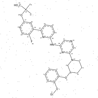 CCOc1ccccc1OC1CCCN(c2cncc(Nc3cccc(-c4cc(OC(C)(C)C(=O)O)ccc4F)n3)n2)C1